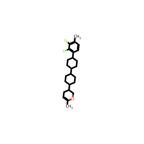 CC1=CCC(C2CCC(C3CCC(c4ccc(C)c(F)c4F)CC3)CC2)CO1